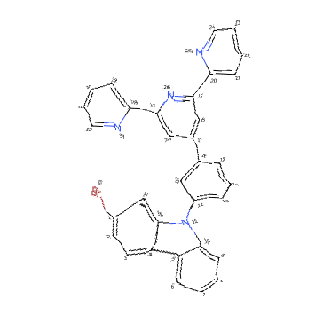 Brc1ccc2c3ccccc3n(-c3cccc(-c4cc(-c5ccccn5)nc(-c5ccccn5)c4)c3)c2c1